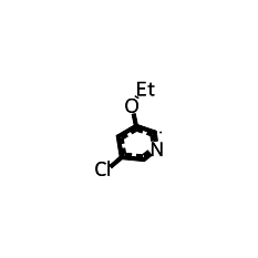 CCOc1[c]ncc(Cl)c1